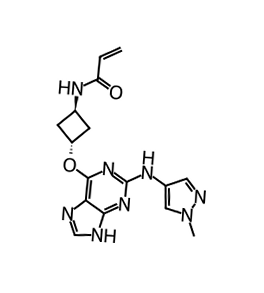 C=CC(=O)N[C@H]1C[C@H](Oc2nc(Nc3cnn(C)c3)nc3[nH]cnc23)C1